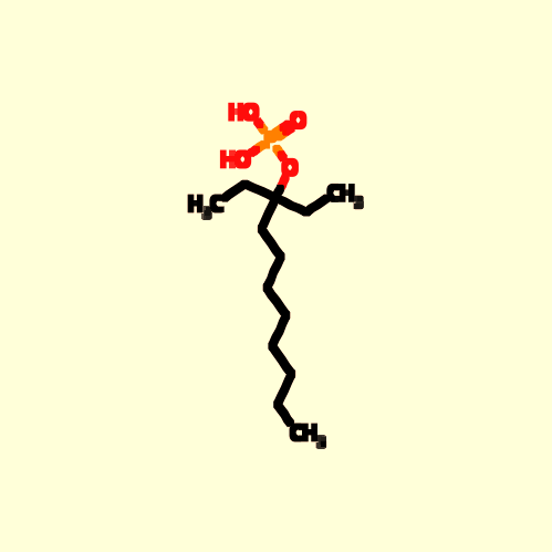 CCCCCCCCC(CC)(CC)OP(=O)(O)O